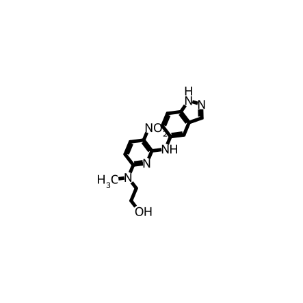 CN(CCO)c1ccc([N+](=O)[O-])c(Nc2ccc3[nH]ncc3c2)n1